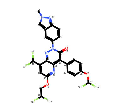 Cn1cc2cc(-n3nc4c(C(F)F)cc(OCC(F)F)nc4c(-c4ccc(OC(F)F)cc4)c3=O)ccc2n1